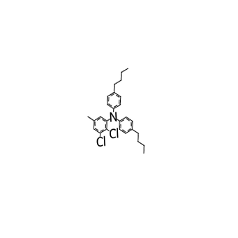 CCCCc1ccc(N(c2ccc(CCCC)cc2)c2cc(C)cc(Cl)c2Cl)cc1